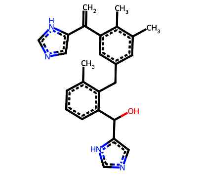 C=C(c1cnc[nH]1)c1cc(Cc2c(C)cccc2C(O)c2cnc[nH]2)cc(C)c1C